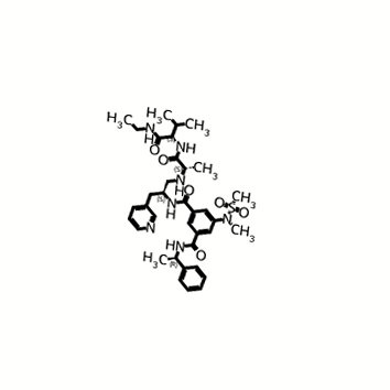 CCNC(=O)[C@@H](NC(=O)[C@H](C)NC[C@H](Cc1cccnc1)NC(=O)c1cc(C(=O)N[C@H](C)c2ccccc2)cc(N(C)S(C)(=O)=O)c1)C(C)C